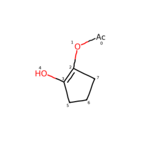 CC(=O)OC1=C(O)CCC1